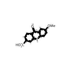 COc1ccc2sc3cc(C(=O)O)ccc3c(=O)c2c1